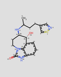 CC(CCc1cnsc1)N[C@@H]1CCn2c(=O)[nH]c3cccc(c32)[C@H]1O